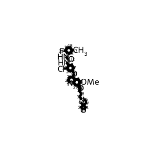 COc1cc2c(Oc3ccc(NC(=O)Nc4cc(C)ccc4F)c(Cl)c3)ccnc2cc1OCCCN1CCC2(COC2)C1